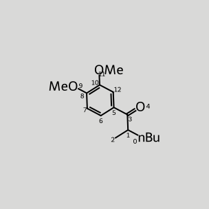 CCCCC(C)C(=O)c1ccc(OC)c(OC)c1